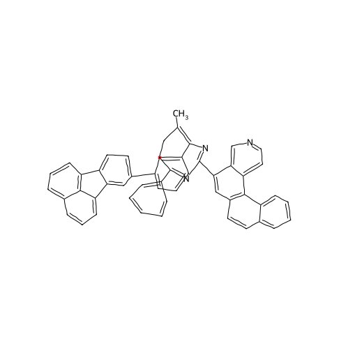 C\C1=C(c2cccc(-c3ccc4c(c3)-c3cccc5cccc-4c35)c2)/N=C(c2cc3ccc4ccccc4c3c3ccncc23)\N=C(\c2ccccc2)CC1